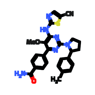 COc1c(Nc2ncc(C#N)s2)nc(N2CCCC2c2ccc(C)cc2)nc1-c1ccc(C(N)=O)cc1